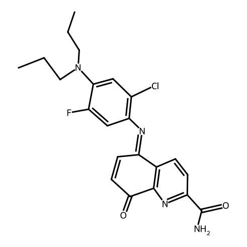 CCCN(CCC)c1cc(Cl)c(N=C2C=CC(=O)c3nc(C(N)=O)ccc32)cc1F